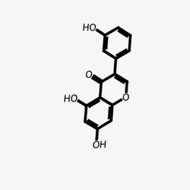 O=c1c(-c2cccc(O)c2)coc2cc(O)cc(O)c12